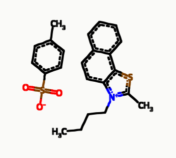 CCCC[n+]1c(C)sc2c3ccccc3ccc21.Cc1ccc(S(=O)(=O)[O-])cc1